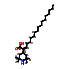 CCCCCCCCCCCCCCCC=C(C(=O)O)C1CC(C)(C)NC(C)(C)C1